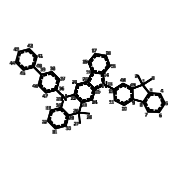 CC1(C)c2ccccc2-c2ccc(-n3c4ccccc4c4cc5c(cc43)C(C)(C)c3ccccc3N5c3ccc(-c4ccccc4)cc3)cc21